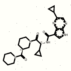 O=C(N[C@@H](C(=O)N1CCC[C@H](C(=O)N2CCCCC2)C1)C1CC1)c1c[nH]c2ncc(C3CC3)nc12